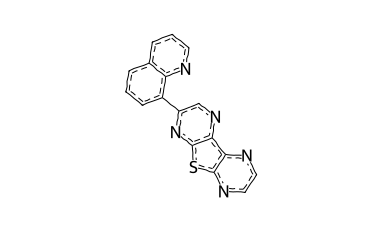 c1cnc2c(-c3cnc4c(n3)sc3nccnc34)cccc2c1